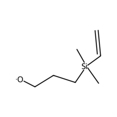 C=C[Si](C)(C)CCC[O]